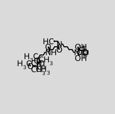 C#CCN(CCCCCCN1C(=O)C2[C@@H](C1=O)[C@@H]1C=C[C@H]2C1)C(=O)CCC(=O)NCCCC(C)(C)OC(=O)C(C)C(C)(C)OC